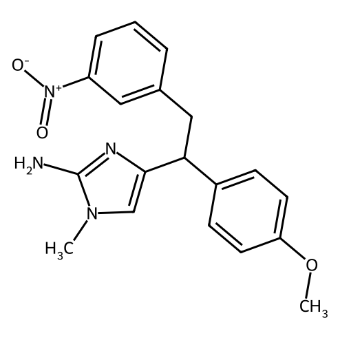 COc1ccc(C(Cc2cccc([N+](=O)[O-])c2)c2cn(C)c(N)n2)cc1